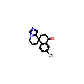 N#Cc1ccc2c(c1)C(=O)CCC21CCCn2cncc21